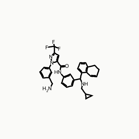 NCc1cccc(-n2nc(C(F)(F)F)cc2C(=O)Nc2cccc(C(NCC3CC3)c3cccc4c3C=CCC4)c2)c1